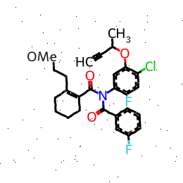 C#CC(C)Oc1cc(N(C(=O)C2=C(CCOC)CCCC2)C(=O)c2cccc(F)c2)c(F)cc1Cl